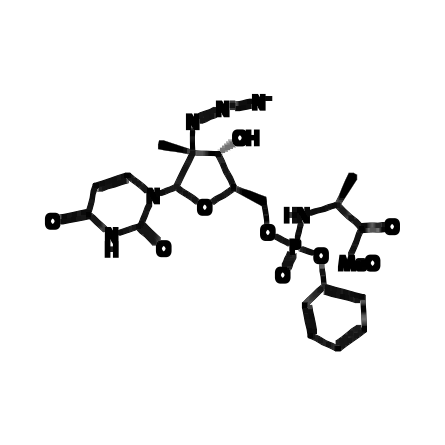 COC(=O)[C@H](C)NP(=O)(OC[C@H]1OC(n2ccc(=O)[nH]c2=O)[C@](C)(N=[N+]=[N-])[C@@H]1O)Oc1ccccc1